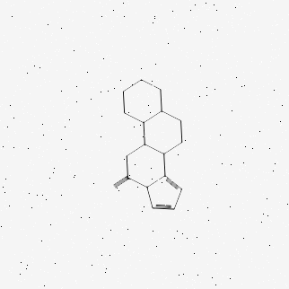 O=C1CC2C(CCC3CCCCC32)C2=CC=CC12